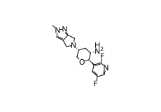 Cn1cc2c(n1)CN([C@H]1CO[C@H](c3cc(F)cnc3F)[C@@H](N)C1)C2